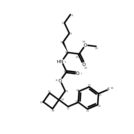 CCCC[C@H](NC(=O)OCC1(Cc2ccc(F)cc2)CCC1)C(=O)OC